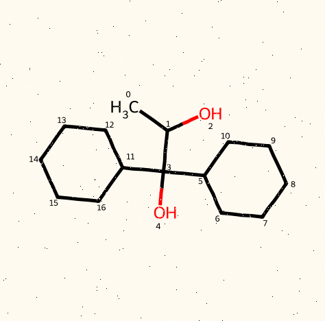 CC(O)C(O)(C1CCCCC1)C1CCCCC1